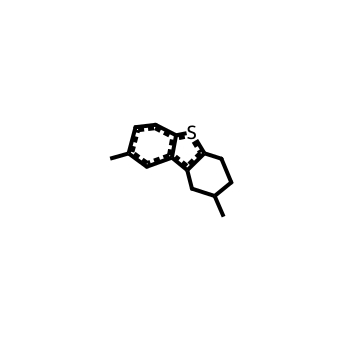 Cc1ccc2sc3c(c2c1)CC(C)CC3